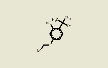 CCC(C)(C)c1ccc(OCC#N)cc1C#N